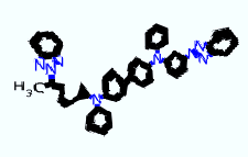 C/C(=C\C=C/C1=CC1N(c1ccccc1)c1ccc(-c2ccc(N(c3ccccc3)c3cccc(-n4nc5ccccc5n4)c3)cc2)cc1)n1nc2ccccc2n1